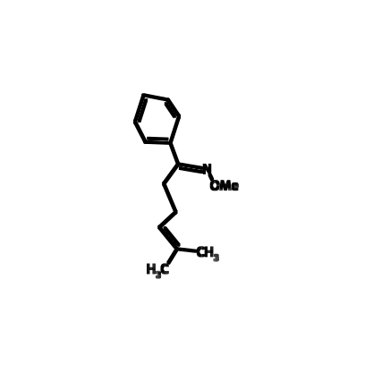 CON=C(CCC=C(C)C)c1ccccc1